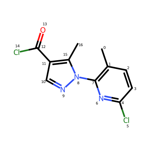 Cc1ccc(Cl)nc1-n1ncc(C(=O)Cl)c1C